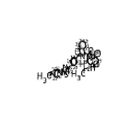 CCC[C@@H]1CN(C(=O)[C@@H](NC(=O)c2ccc(-c3csc(N4CCN(C)CC4)n3)cc2)C2CCCCC2)[C@@H]2C(=O)CO[C@H]12